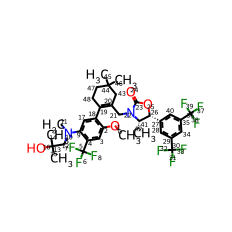 COc1cc(C(F)(F)F)c(N(C)CC(C)(C)O)cc1C1=C(CN2C(=O)O[C@H](c3cc(C(F)(F)F)cc(C(F)(F)F)c3)[C@@H]2C)CC(C)(C)CC1